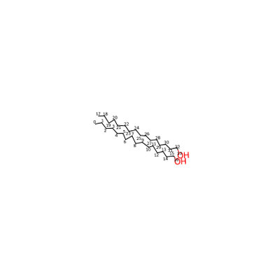 CCCCCCCCCCCCCCCCO.CCCCCCCCCCCCCCCCO